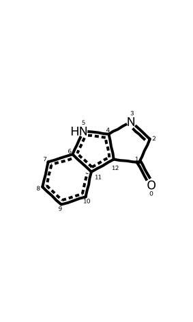 O=C1C=Nc2[nH]c3ccccc3c21